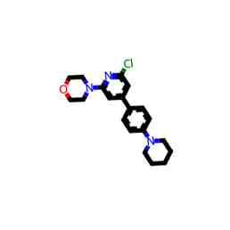 Clc1cc(-c2ccc(N3CCCCC3)cc2)cc(N2CCOCC2)n1